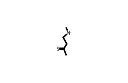 C[N]CCC(C)=S